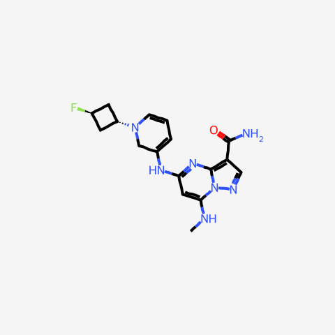 CNc1cc(NC2=CC=CN([C@H]3C[C@H](F)C3)C2)nc2c(C(N)=O)cnn12